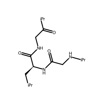 CC(C)C[C@H](NC(=O)CNC(C)C)C(=O)NCC(=O)C(C)C